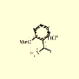 COc1ccccc1C(C)N.Cl